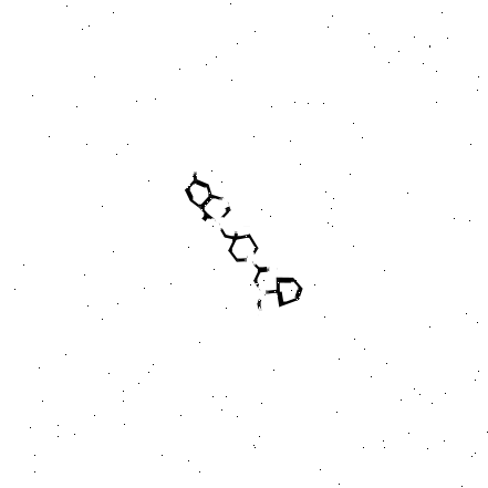 CCN(CC(=O)N1CCC(O)(Cn2cnc3cc(C)ccc3c2=O)CC1)c1ccccc1